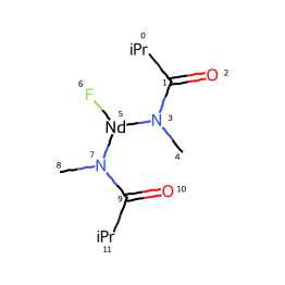 CC(C)C(=O)[N](C)[Nd]([F])[N](C)C(=O)C(C)C